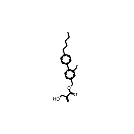 C=C(CO)C(=O)OCc1ccc(-c2ccc(CCCCC)cc2)c(F)c1